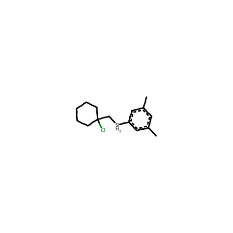 Cc1cc(C)cc([SiH2]CC2(Cl)CCCCC2)c1